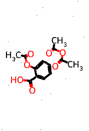 CC(=O)OC(C)=O.CC(=O)Oc1ccccc1C(=O)O